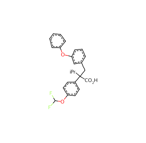 CC(C)C(Cc1cccc(Oc2ccccc2)c1)(C(=O)O)c1ccc(OC(F)F)cc1